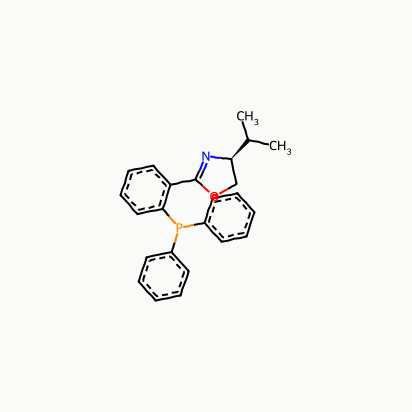 CC(C)[C@H]1COC(c2ccccc2P(c2ccccc2)c2ccccc2)=N1